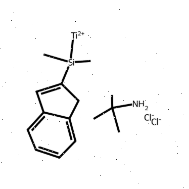 CC(C)(C)N.C[Si](C)([Ti+2])C1=Cc2ccccc2C1.[Cl-].[Cl-]